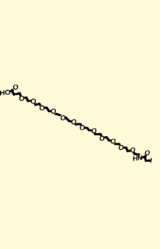 O=C(O)CCOCCOCCOCCOCCOCCOCCOCCOCCOCCOCCOCCOCCNC(=O)CI